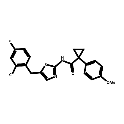 COc1ccc(C2(C(=O)Nc3ncc(Cc4ccc(F)cc4Cl)s3)CC2)cc1